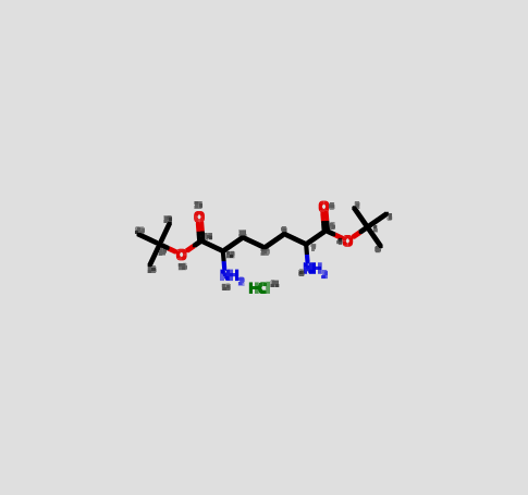 CC(C)(C)OC(=O)C(N)CCCC(N)C(=O)OC(C)(C)C.Cl